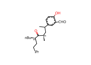 CCCC[C@H](CCC(C)C)C(=O)[C@H](C)CC(C)c1ccc(O)c(C=O)c1